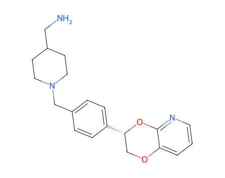 NCC1CCN(Cc2ccc([C@H]3COc4cccnc4O3)cc2)CC1